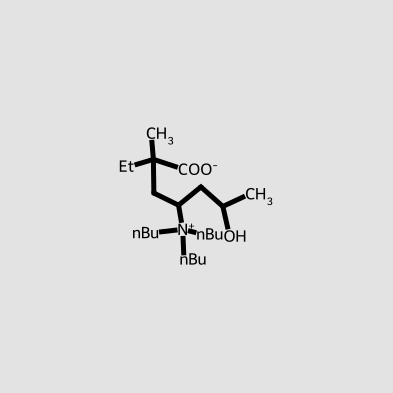 CCCC[N+](CCCC)(CCCC)C(CC(C)O)CC(C)(CC)C(=O)[O-]